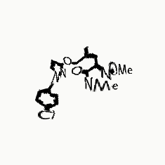 CNC(=O)C(/C=C(/C)COc1ccn(-c2ccc(Cl)cc2)n1)=N/OC